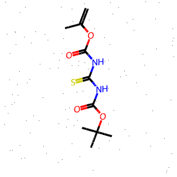 C=C(C)OC(=O)NC(=S)NC(=O)OC(C)(C)C